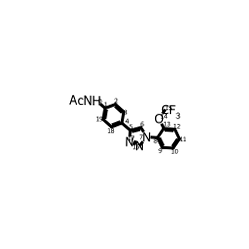 CC(=O)Nc1ccc(-c2cn(-c3ccccc3OC(F)(F)F)nn2)cc1